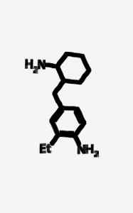 CCc1cc(CC2CCCCC2N)ccc1N